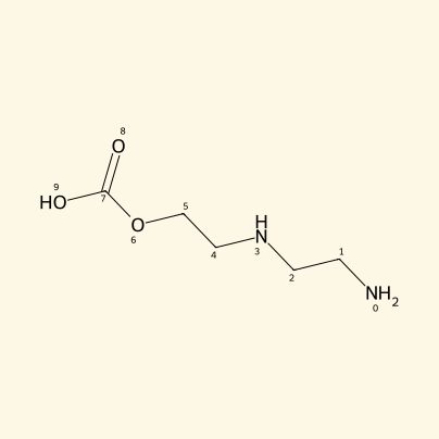 NCCNCCOC(=O)O